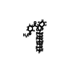 COc1cccc(C(=O)C(OC(=O)C(F)(F)C(F)(F)C(F)(F)C(F)(F)C(F)(F)C(F)(F)C(F)(F)F)c2ccccc2)c1